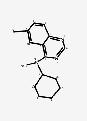 Cc1ccc2ncnc(N(I)C3CCCCC3)c2c1